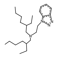 CCCCC(CC)CN(CCn1nnc2ccccc21)CC(CC)CCCC